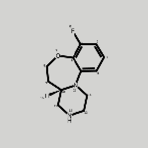 Fc1cccc2c1OCC[C@H]1CNCCN21